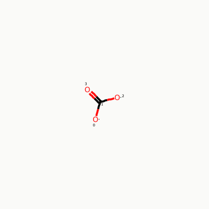 [O]C([O])=O